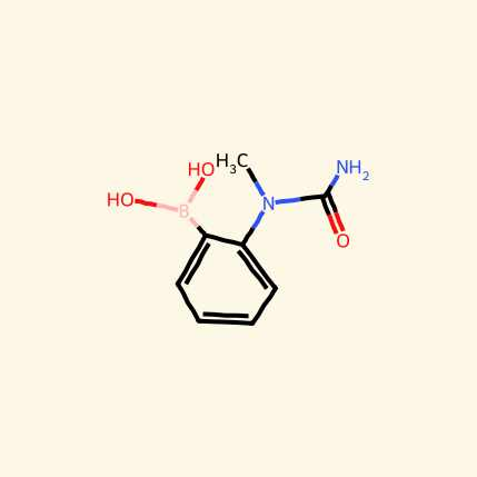 CN(C(N)=O)c1ccccc1B(O)O